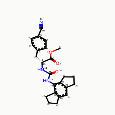 COC(=O)[C@@H](Cc1ccc(C#N)cc1)NC(=O)Nc1c2c(cc3c1CCC3)CCC2